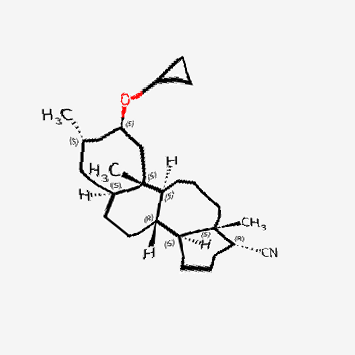 C[C@H]1C[C@@H]2CC[C@@H]3[C@H](CC[C@]4(C)[C@H](C#N)CC[C@@H]34)[C@@]2(C)C[C@@H]1OC1CC1